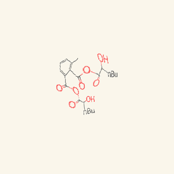 CCCCC(O)C(=O)OC(=O)c1cccc(C)c1C(=O)OC(=O)C(O)CCCC